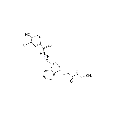 CCNC(=O)CCc1ccc(/C=N/NC(=O)c2ccc(O)c(Cl)c2)c2ccccc12